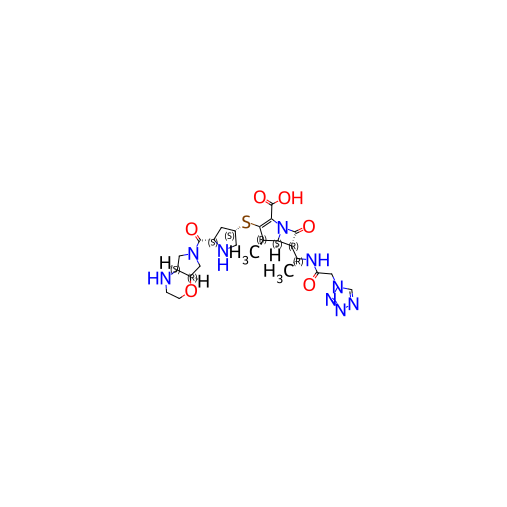 C[C@@H](NC(=O)Cn1cnnn1)[C@H]1C(=O)N2C(C(=O)O)=C(S[C@@H]3CN[C@H](C(=O)N4C[C@@H]5NCCO[C@@H]5C4)C3)[C@H](C)[C@H]12